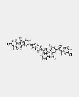 Nc1nccn2c(N3CCC4(CC3)CN(c3ccc5c(c3)C(=O)N(C3CCC(=O)NC3=O)C5=O)C4)nc(-c3ccc(C(=O)Nc4cc(Cl)ccn4)cc3F)c12